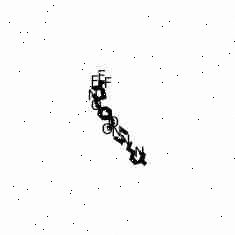 Cc1ccc(CCN2CCN(C(=O)Oc3ccc(Oc4ccc(C(F)(F)F)cn4)cc3)CC2)nc1